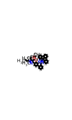 CCCC[N+]1(C)N=C(c2ccc(-c3ccccc3-c3nnn(C(c4ccccc4)(c4ccccc4)c4ccccc4)n3)cc2)C(C(=O)OCC)=C1C(C)C